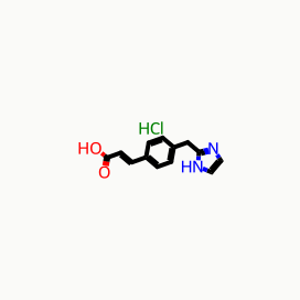 Cl.O=C(O)C=Cc1ccc(Cc2ncc[nH]2)cc1